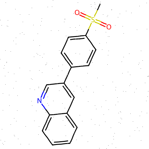 CS(=O)(=O)c1ccc(-c2cnc3ccccc3c2)cc1